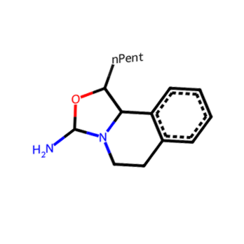 CCCCCC1OC(N)N2CCc3ccccc3C12